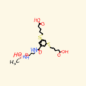 CB(O)NOCCCNC(=O)c1cc(SCCCCC(=O)O)cc(SCCCCC(=O)O)c1